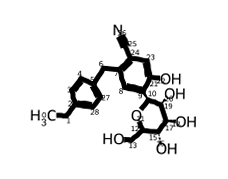 CCc1ccc(Cc2cc([C@@H]3OC(CO)[C@@H](O)[C@H](O)[C@H]3O)c(O)cc2C#N)cc1